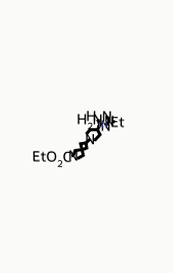 CCOC(=O)N1CCC2(CC(N3CCC(/C(N)=N/N(N)CC)CC3)C2)C1